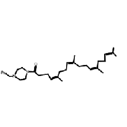 CC(C)=CCCC(C)=CCCC(C)=CCCC(C)=CCCC(=O)N1CCN(CC(C)C)CC1